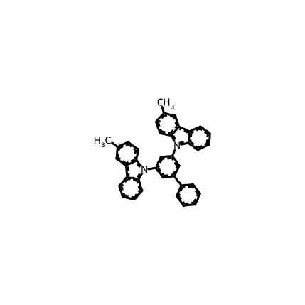 Cc1ccc2c(c1)c1ccccc1n2-c1cc(-c2ccccc2)cc(-n2c3ccccc3c3cc(C)ccc32)c1